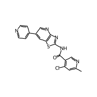 Cc1cc(Cl)c(C(=O)Nc2nc3ncc(-c4ccncc4)cc3s2)cn1